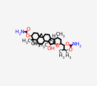 CC(C)[C@@H](OC(N)=O)C1C[C@@H](C)[C@H]2C(O1)[C@H](O)[C@@]1(C)C3CC[C@H]4C(C)(C)[C@@H](OC(N)=O)CCC45C[C@@]35CC[C@]21C